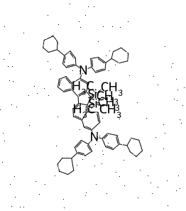 C[Si](C)(C)C1([Si](C)(C)C)c2cc(N(c3ccc(C4CCCCC4)cc3)c3ccc(C4CCCCC4)cc3)c3ccccc3c2-c2ccc3cc(N(c4ccc(C5CCCCC5)cc4)c4ccc(C5CCCCC5)cc4)ccc3c21